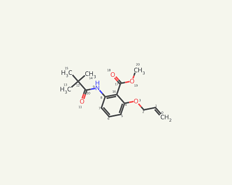 C=CCOc1cccc(NC(=O)C(C)(C)C)c1C(=O)OC